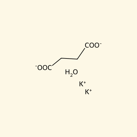 O.O=C([O-])CCC(=O)[O-].[K+].[K+]